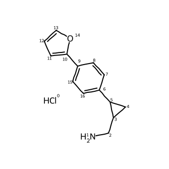 Cl.NCC1CC1c1ccc(-c2ccco2)cc1